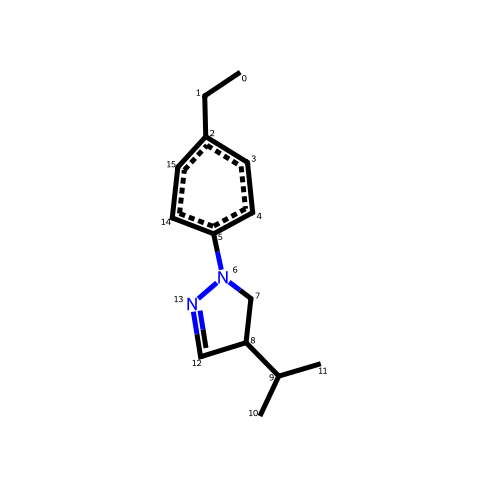 CCc1ccc(N2CC(C(C)C)C=N2)cc1